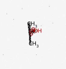 CCCCCCCCC(CCCCCCCC)OC(=O)CC(=O)O